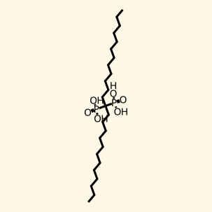 CCCCCCCCCCCCC(CCCCCCCCCCCC)(P(=O)(O)O)P(=O)(O)O